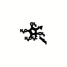 CC1=C(C)C(C)(C)[C]([Hf])=C1C.I[I-]I